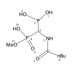 CCCCC(=O)NC(P(O)O)P(=O)(O)OC